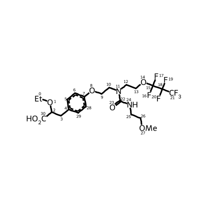 CCOC(Cc1ccc(OCCN(CCOC(F)(F)C(F)(F)C(F)(F)F)C(=O)NCCOC)cc1)C(=O)O